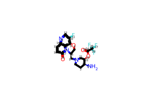 N[C@H]1CCN(C[C@@H]2COc3c(F)cnc4ccc(=O)n2c34)C[C@H]1OC(=O)C(F)(F)F